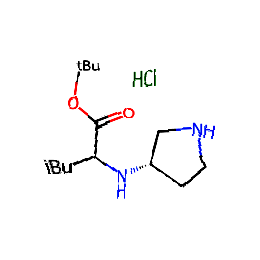 CCC(C)C(N[C@H]1CCNC1)C(=O)OC(C)(C)C.Cl